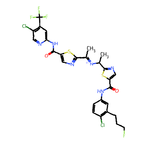 C/C(=N\C(C)c1ncc(C(=O)Nc2ccc(Cl)c(CCCF)c2)s1)c1ncc(C(=O)Nc2cc(C(F)(F)F)c(Cl)cn2)s1